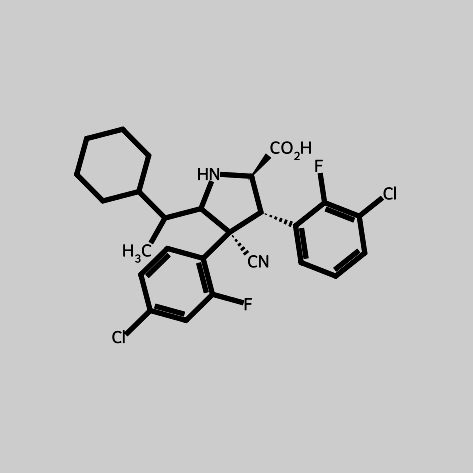 CC(C1CCCCC1)C1N[C@@H](C(=O)O)[C@H](c2cccc(Cl)c2F)[C@@]1(C#N)c1ccc(Cl)cc1F